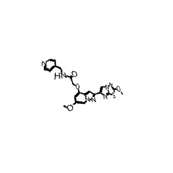 COc1cc(OCC(=O)NCc2ccncc2)c2cc(-c3cn4nc(OC)sc4n3)nn2c1